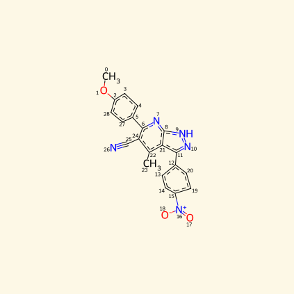 COc1ccc(-c2nc3[nH]nc(-c4ccc([N+](=O)[O-])cc4)c3c(C)c2C#N)cc1